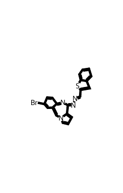 Brc1ccc2nc(=NN=Cc3cc4ccccc4s3)c3cccn3cc2c1